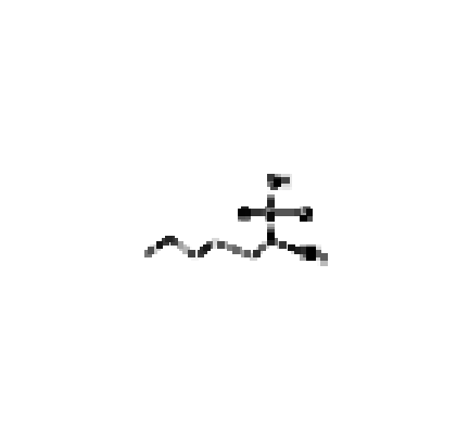 CCCCCC(N)S(=O)(=O)O